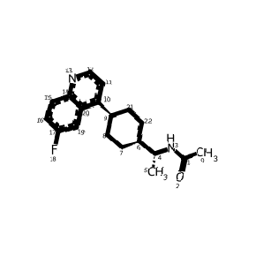 CC(=O)N[C@H](C)[C@H]1CC[C@@H](c2ccnc3ccc(F)cc32)CC1